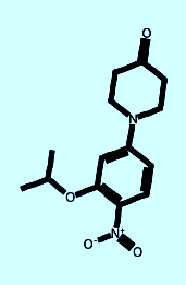 CC(C)Oc1cc(N2CCC(=O)CC2)ccc1[N+](=O)[O-]